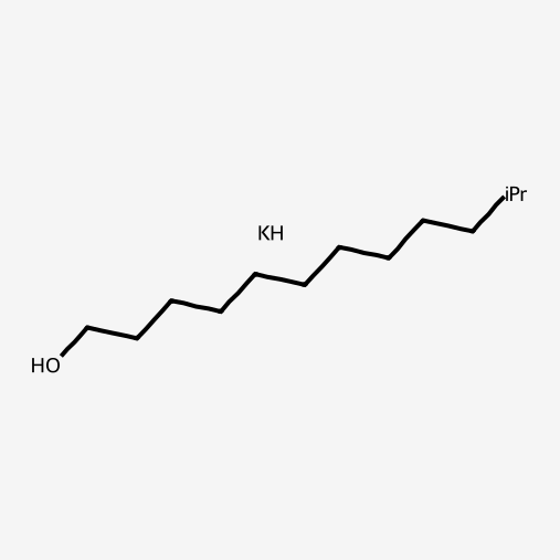 CC(C)CCCCCCCCCCO.[KH]